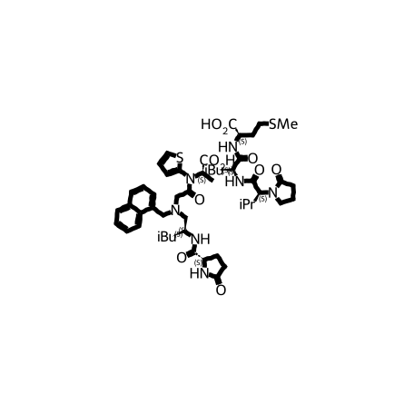 CC[C@H](C)[C@@H](CN(CC(=O)N(c1cccs1)[C@@H](C)C(=O)O)Cc1cccc2ccccc12)NC(=O)[C@@H]1CCC(=O)N1.CC[C@H](C)[C@H](NC(=O)[C@H](C(C)C)N1CCCC1=O)C(=O)N[C@@H](CCSC)C(=O)O